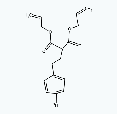 [3H]c1ccc(CCC(C(=O)OCC=C)C(=O)OCC=C)cc1